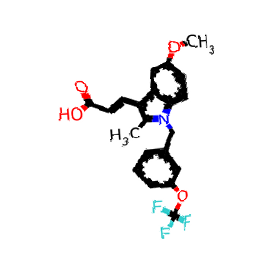 COc1ccc2c(c1)c(C=CC(=O)O)c(C)n2Cc1cccc(OC(F)(F)F)c1